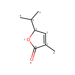 CC1=CC(C(C)C)OC1=O